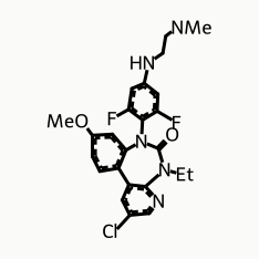 CCN1C(=O)N(c2c(F)cc(NCCNC)cc2F)c2cc(OC)ccc2-c2cc(Cl)cnc21